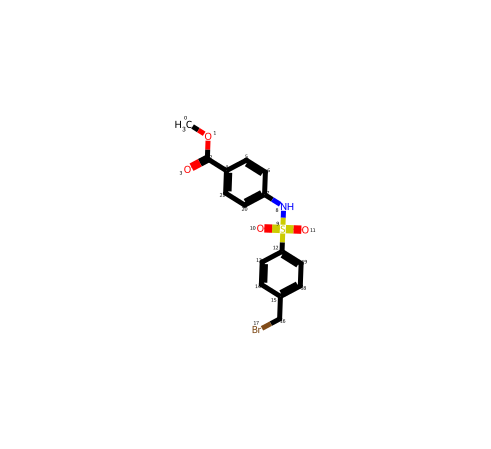 COC(=O)c1ccc(NS(=O)(=O)c2ccc(CBr)cc2)cc1